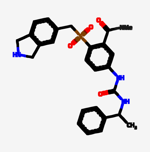 CNC(=O)c1cc(NC(=O)NC(C)c2ccccc2)ccc1S(=O)(=O)Cc1ccc2c(c1)CNC2